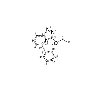 CCOc1nnc2cccc(-c3ccccc3)n12